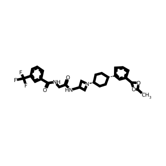 CC1OC(c2cccc([C@H]3CC[C@@H](N4CC(NC(=O)CNC(=O)c5cccc(C(F)(F)F)c5)C4)CC3)c2)O1